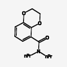 CCCN(CCC)C(=O)c1cccc2c1OCCO2